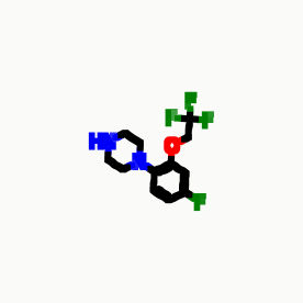 Fc1ccc(N2CCNCC2)c(OCC(F)(F)F)c1